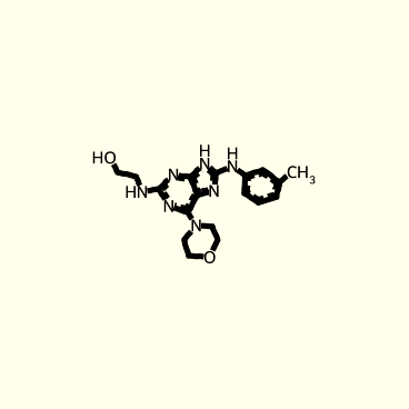 Cc1cccc(Nc2nc3c(N4CCOCC4)nc(NCCO)nc3[nH]2)c1